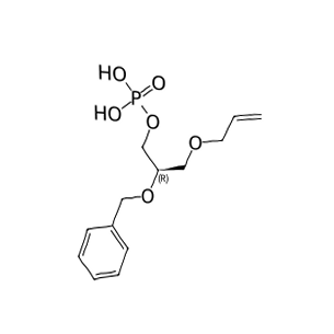 C=CCOC[C@H](COP(=O)(O)O)OCc1ccccc1